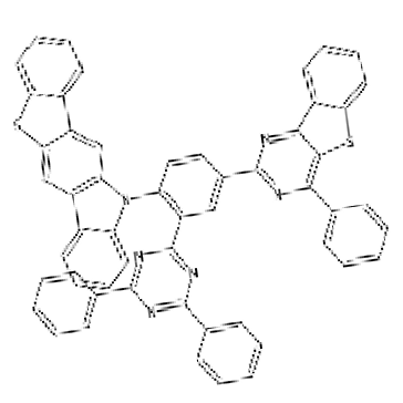 c1ccc(-c2nc(-c3ccccc3)nc(-c3cc(-c4nc(-c5ccccc5)c5sc6ccccc6c5n4)ccc3-n3c4ccccc4c4cc5sc6ccccc6c5cc43)n2)cc1